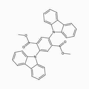 COC(=O)c1cc(-n2c3ccccc3c3ccccc32)c(C(=O)OC)cc1-n1c2ccccc2c2ccccc21